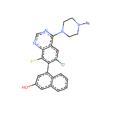 CC(=O)N1CCN(c2ncnc3c(F)c(-c4cc(O)cc5ccccc45)c(Cl)cc23)CC1